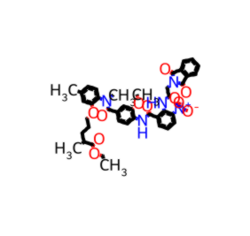 CCOC(=O)C(C)CCCOc1cc(C)ccc1N(C)C(=O)c1ccc(NC(=O)c2cccc([N+](=O)[O-])c2NC(=O)CN2C(=O)c3ccccc3C2=O)c(OC)c1